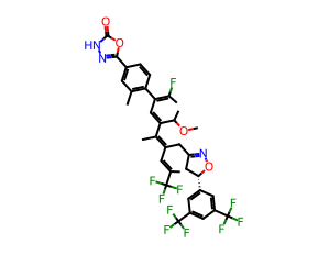 COC(C)C(=C\C(=C(/C)F)c1ccc(-c2n[nH]c(=O)o2)cc1C)/C(C)=C(/C=C(\C)C(F)(F)F)CC1=NO[C@H](c2cc(C(F)(F)F)cc(C(F)(F)F)c2)C1